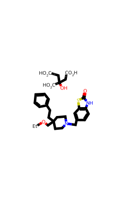 CCOCC1(CCc2ccccc2)CCN(Cc2ccc3[nH]c(=O)sc3c2)CC1.O=C(O)CC(O)(CC(=O)O)C(=O)O